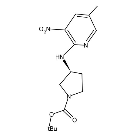 Cc1cnc(N[C@H]2CCN(C(=O)OC(C)(C)C)C2)c([N+](=O)[O-])c1